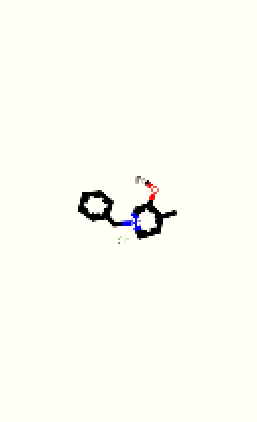 Cc1cc[n+](Cc2ccccc2)cc1OC(C)C.[Cl-]